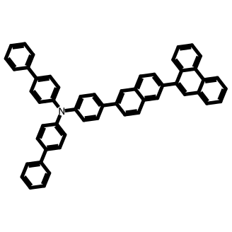 c1ccc(-c2ccc(N(c3ccc(-c4ccccc4)cc3)c3ccc(-c4ccc5cc(-c6cc7ccccc7c7ccccc67)ccc5c4)cc3)cc2)cc1